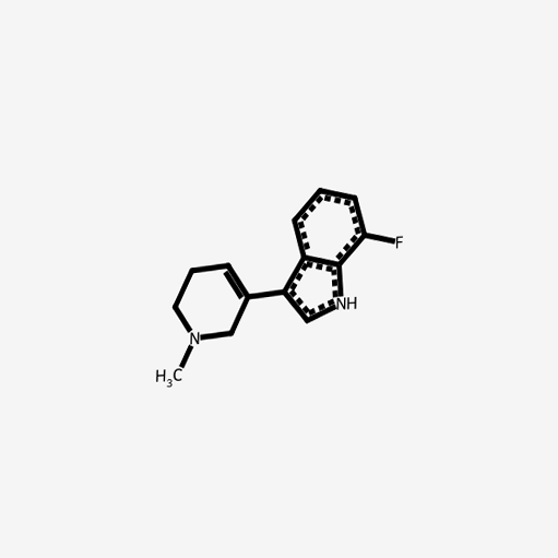 CN1CCC=C(c2c[nH]c3c(F)cccc23)C1